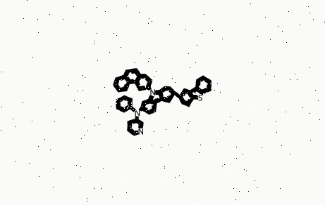 c1ccc(N(c2cccnc2)c2ccc3c4cc(-c5ccc6sc7ccccc7c6c5)ccc4n(-c4ccc5ccc6ccccc6c5c4)c3c2)cc1